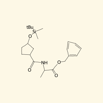 CC(NC(=O)C1CCC(O[Si](C)(C)C(C)(C)C)C1)C(=O)OCc1ccccc1